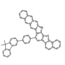 CC1(C)c2ccccc2-c2cc(-c3ccc(-c4cc5c6ccc7ccccc7c6sc5c5nc6cc7cc8ccccc8cc7cc6n45)cc3)ccc21